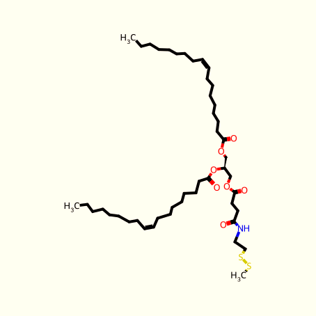 CCCCCCCC/C=C\CCCCCCCC(=O)OC[C@@H](COC(=O)CCC(=O)NCCSSC)OC(=O)CCCCCCC/C=C\CCCCCCCC